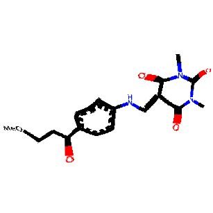 COCCC(=O)c1ccc(NC=C2C(=O)N(C)C(=O)N(C)C2=O)cc1